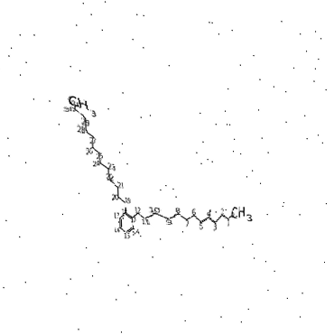 CCCCCCCCCCCCCc1[c]cc[c]c1CCCCCCCCCCCCC